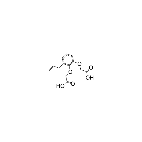 C=CCc1cccc(OCC(=O)O)c1OCC(=O)O